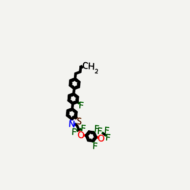 C=CCCc1ccc(-c2ccc(-c3ccc4nc(C(F)(F)Oc5cc(F)c(OC(F)(F)F)c(F)c5)sc4c3)c(F)c2)cc1